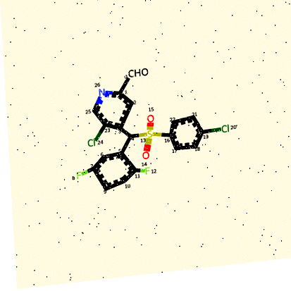 O=Cc1cc(C(c2cc(F)ccc2F)S(=O)(=O)c2ccc(Cl)cc2)c(Cl)cn1